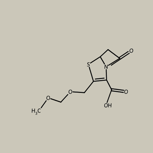 COCOCC1=C(C(=O)O)N2C(=O)CC2S1